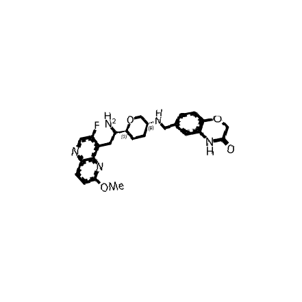 COc1ccc2ncc(F)c(CC(N)[C@@H]3CC[C@@H](NCc4ccc5c(c4)NC(=O)CO5)CO3)c2n1